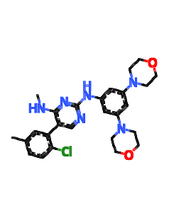 CNc1nc(Nc2cc(N3CCOCC3)cc(N3CCOCC3)c2)ncc1-c1cc(C)ccc1Cl